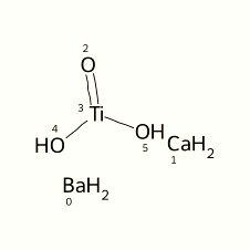 [BaH2].[CaH2].[O]=[Ti]([OH])[OH]